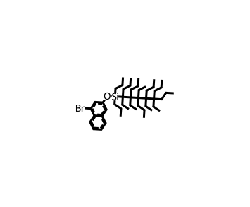 CCCC(CC)(CCC)C(CC)(CCC)C(CC)(CCC)C(CC)(CCC)C(CC)(CCC)[Si](CCC)(CCC)Oc1cc(Br)c2ccccc2c1